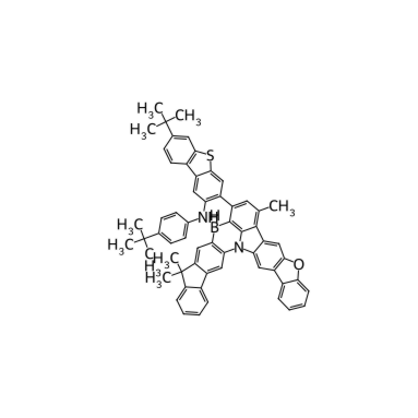 Cc1cc(-c2cc3sc4cc(C(C)(C)C)ccc4c3cc2Nc2ccc(C(C)(C)C)cc2)c2c3c1c1cc4oc5ccccc5c4cc1n3-c1cc3c(cc1B2)C(C)(C)c1ccccc1-3